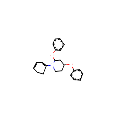 [CH]1CC=CC=C1N1CCC(Oc2ccccc2)CC1Oc1ccccc1